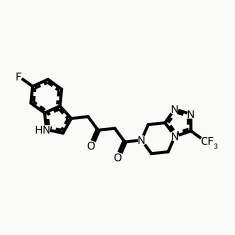 O=C(CC(=O)N1CCn2c(nnc2C(F)(F)F)C1)Cc1c[nH]c2cc(F)ccc12